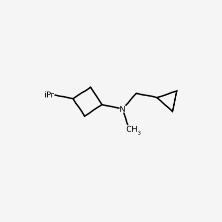 CC(C)C1CC(N(C)CC2CC2)C1